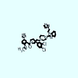 COc1ccc(-n2cnnn2)cc1C(=O)N1CCC(CCN2CCCN(c3nc4ccccc4n3CCn3ccnn3)CC2)(c2ccc(Cl)c(Cl)c2)C1